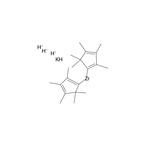 CC1=C(C)C(C)(C)[C]([Zr][C]2=C(C)C(C)=C(C)C2(C)C)=C1C.[H-].[H-].[H-].[KH]